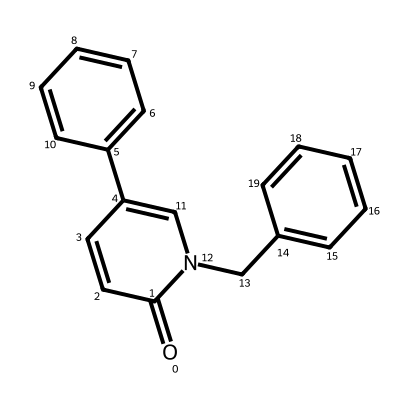 O=c1ccc(-c2ccccc2)cn1Cc1ccccc1